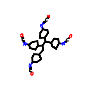 O=C=NC1CCC(CC(C2CCC(N=C=O)CC2)C(C2CCC(N=C=O)CC2)C2CCC(N=C=O)CC2)CC1